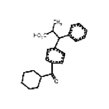 CC(C(=O)O)C(c1ccccc1)c1ccc(C(=O)C2CCCCC2)cc1